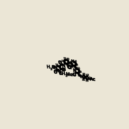 COc1nc(-c2ccnc(-c3cccc(NC(=O)c4cn(C)c(=O)n(C)c4=O)c3Cl)c2Cl)ccc1CN1CC2(C1)CN(C(C)=O)C2